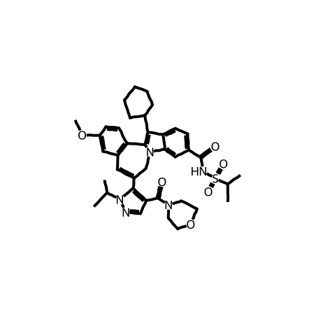 COc1ccc2c(c1)C=C(c1c(C(=O)N3CCOCC3)cnn1C(C)C)Cn1c-2c(C2CCCCC2)c2ccc(C(=O)NS(=O)(=O)C(C)C)cc21